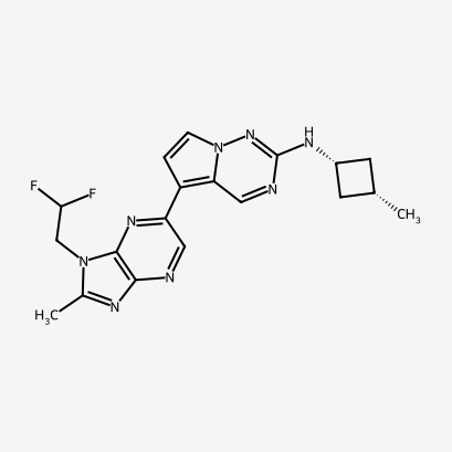 Cc1nc2ncc(-c3ccn4nc(N[C@H]5C[C@@H](C)C5)ncc34)nc2n1CC(F)F